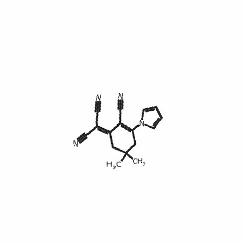 CC1(C)CC(=C(C#N)C#N)C(C#N)=C(n2cccc2)C1